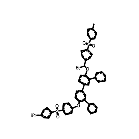 CCC(Oc1ccc(-c2ccc(Oc3ccc(S(=O)(=O)c4ccc(C(C)C)cc4)cc3)c(-c3ccccc3)c2)cc1-c1ccccc1)c1ccc(S(=O)(=O)c2ccc(C)cc2)cc1